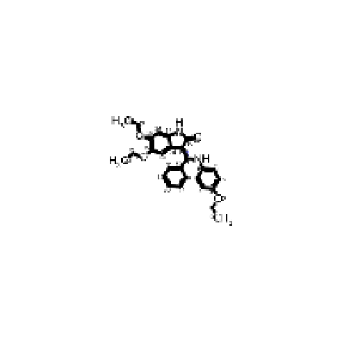 CCOc1ccc(N/C(=C2\C(=O)Nc3cc(OCC)c(OCC)cc32)c2ccccc2)cc1